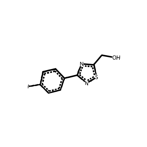 OCc1nc(-c2ccc(I)cc2)ns1